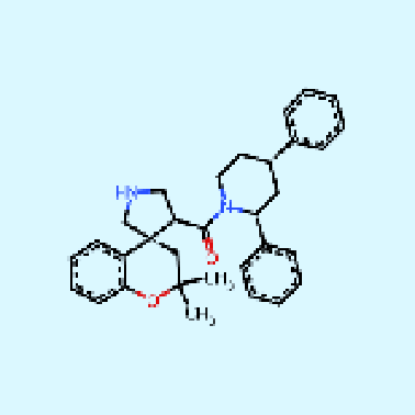 CC1(C)C[C@]2(CNCC2C(=O)N2CC[C@@H](c3ccccc3)C[C@H]2c2ccccc2)c2ccccc2O1